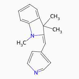 CN1C(=Cc2ccncc2)C(C)(C)c2ccccc21